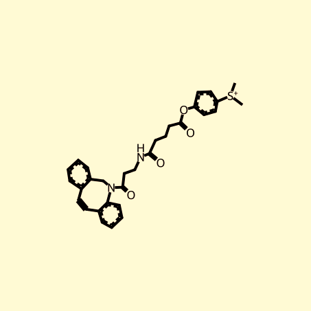 C[S+](C)c1ccc(OC(=O)CCCC(=O)NCCC(=O)N2Cc3ccccc3C#Cc3ccccc32)cc1